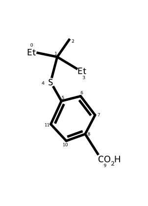 CCC(C)(CC)Sc1ccc(C(=O)O)cc1